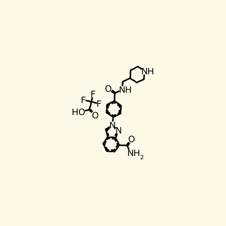 NC(=O)c1cccc2cn(-c3ccc(C(=O)NCC4CCNCC4)cc3)nc12.O=C(O)C(F)(F)F